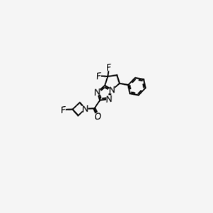 O=C(c1nc2n(n1)C(c1ccccc1)CC2(F)F)N1CC(F)C1